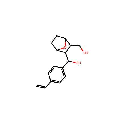 C=Cc1ccc(C(O)C2C3CCC(O3)C2CO)cc1